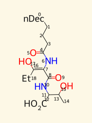 CCCCCCCCCCCCCC(=O)NC(C(=O)NC(C(=O)O)C(C)O)=C(O)CC